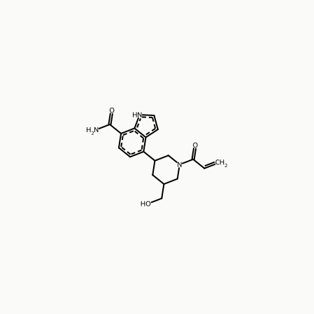 C=CC(=O)N1CC(CO)CC(c2ccc(C(N)=O)c3[nH]ccc23)C1